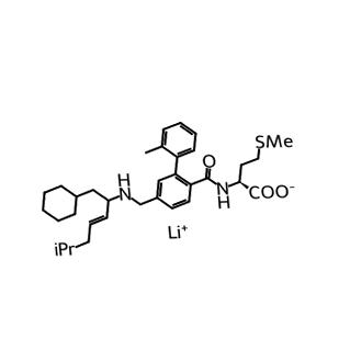 CSCC[C@H](NC(=O)c1ccc(CNC(C=CCC(C)C)CC2CCCCC2)cc1-c1ccccc1C)C(=O)[O-].[Li+]